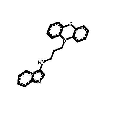 c1ccc2c(c1)Sc1ccccc1N2CCCNc1cnc2ccccn12